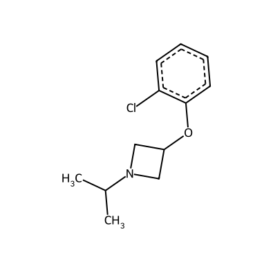 CC(C)N1CC(Oc2ccccc2Cl)C1